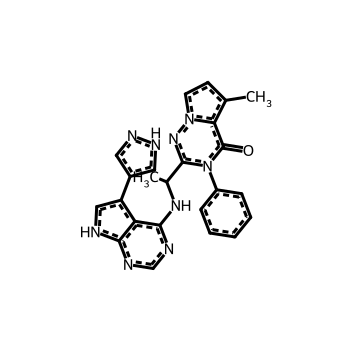 Cc1ccn2nc(C(C)Nc3ncnc4[nH]cc(-c5cn[nH]c5)c34)n(-c3ccccc3)c(=O)c12